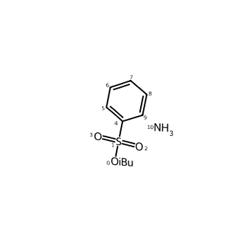 CC(C)COS(=O)(=O)c1ccccc1.N